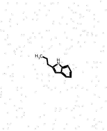 CCCc1cc2ccccc2[nH]1